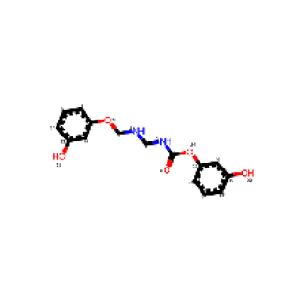 O=C(NCNCOc1cccc(O)c1)Oc1cccc(O)c1